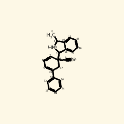 CC1NC(C2(C#N)C=CC=C(c3ccccc3)C2)c2ccccc21